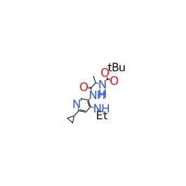 CCNc1cc(C2CC2)ncc1NC(=O)C(C)NC(=O)OC(C)(C)C